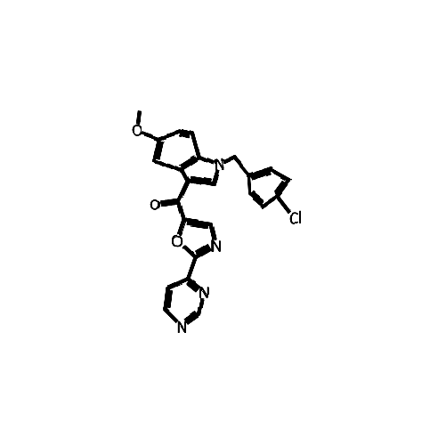 COc1ccc2c(c1)c(C(=O)c1cnc(-c3ccncn3)o1)cn2Cc1ccc(Cl)cc1